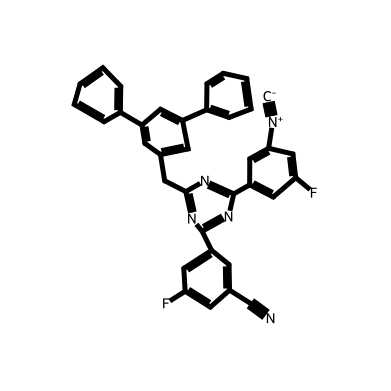 [C-]#[N+]c1cc(F)cc(-c2nc(Cc3cc(-c4ccccc4)cc(-c4ccccc4)c3)nc(-c3cc(F)cc(C#N)c3)n2)c1